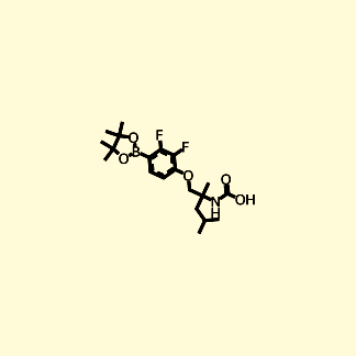 CC(C)CC(C)(COc1ccc(B2OC(C)(C)C(C)(C)O2)c(F)c1F)NC(=O)O